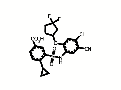 N#Cc1cc(NS(=O)(=O)c2cc(C(=O)O)ccc2C2CC2)c(OC2CCC(F)(F)C2)cc1Cl